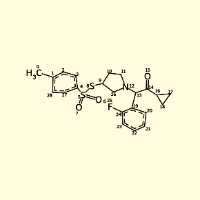 Cc1ccc(S(=O)(=O)SC2CCN(C(C(=O)C3CC3)c3ccccc3F)C2)cc1